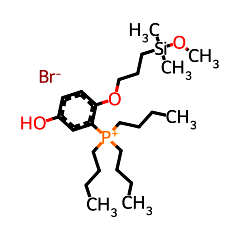 CCCC[P+](CCCC)(CCCC)c1cc(O)ccc1OCCC[Si](C)(C)OC.[Br-]